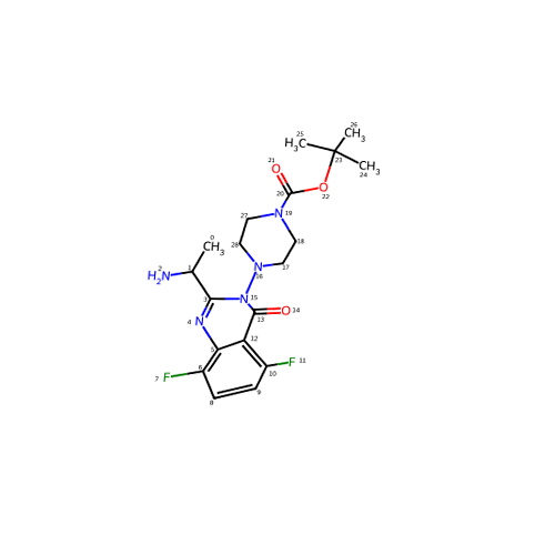 CC(N)c1nc2c(F)ccc(F)c2c(=O)n1N1CCN(C(=O)OC(C)(C)C)CC1